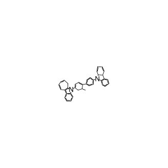 CC1CC(n2c3c(c4ccccc42)C=CC=CC3)=CC=C1c1ccc(N2c3ccccc3C3C=CC=CC32)cc1